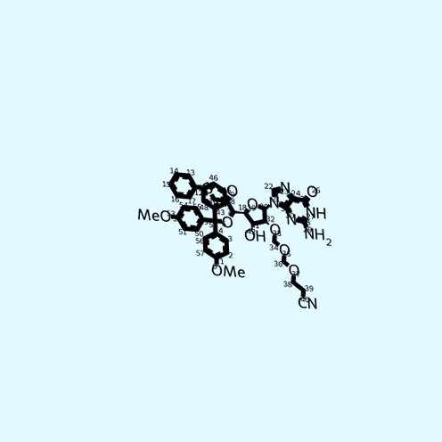 COc1ccc(C(OC(C(=O)COc2ccccc2)[C@H]2O[C@@H](n3cnc4c(=O)[nH]c(N)nc43)[C@H](OCOCOCCC#N)[C@@H]2O)(c2ccccc2)c2ccc(OC)cc2)cc1